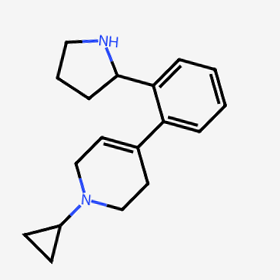 C1=C(c2ccccc2C2CCCN2)CCN(C2CC2)C1